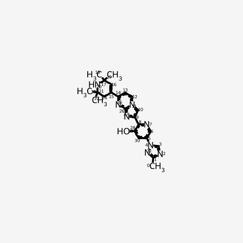 Cc1ncn(-c2cnc(-c3cn4ccc(C5=CC(C)(C)NC(C)(C)C5)nc4n3)c(O)c2)n1